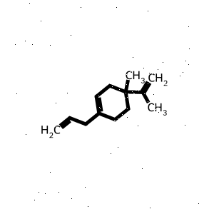 C=CCC1=CCC(C)(C(=C)C)CC1